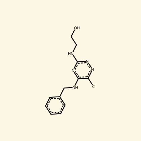 OCCNc1nnc(Cl)c(NCc2ccccc2)n1